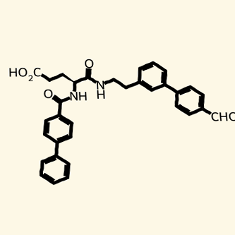 O=Cc1ccc(-c2cccc(CCNC(=O)[C@H](CCC(=O)O)NC(=O)c3ccc(-c4ccccc4)cc3)c2)cc1